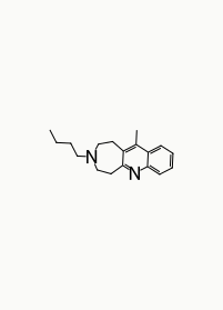 CCCCN1CCc2nc3ccccc3c(C)c2CC1